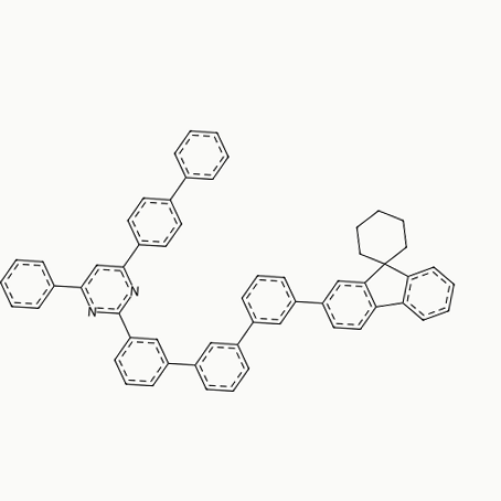 c1ccc(-c2ccc(-c3cc(-c4ccccc4)nc(-c4cccc(-c5cccc(-c6cccc(-c7ccc8c(c7)C7(CCCCC7)c7ccccc7-8)c6)c5)c4)n3)cc2)cc1